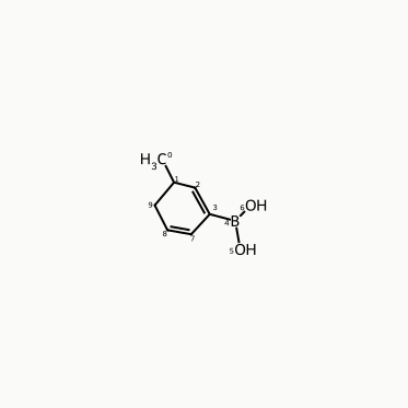 CC1C=C(B(O)O)C=CC1